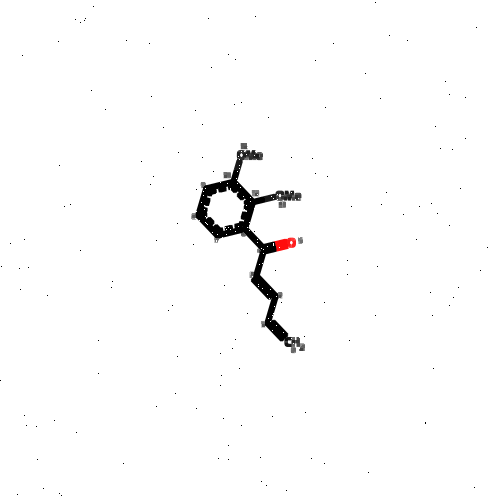 C=CC=CC(=O)c1cccc(OC)c1OC